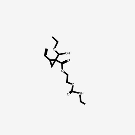 C=CC1CC1(C(=O)OCCOC(=O)NCC)C(O)OCC